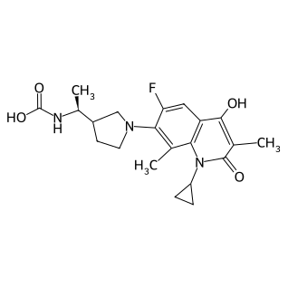 Cc1c(O)c2cc(F)c(N3CCC([C@H](C)NC(=O)O)C3)c(C)c2n(C2CC2)c1=O